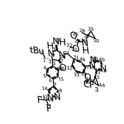 CC(C)(C)C[C@]1(c2ccc(-c3cnn(C(F)F)c3)cc2)NC(=N)N([C@H](COC(=O)NC2(C)CC2)c2ccc(OC(F)(F)F)c(-n3ncnc3C3CC3)c2)C1=O